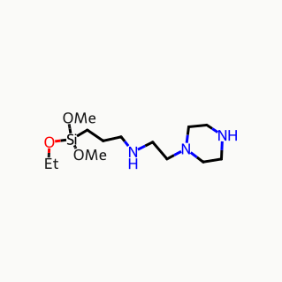 CCO[Si](CCCNCCN1CCNCC1)(OC)OC